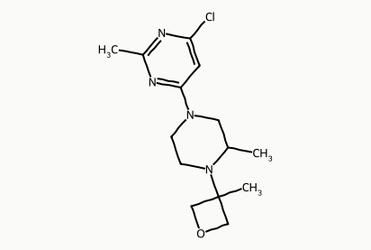 Cc1nc(Cl)cc(N2CCN(C3(C)COC3)C(C)C2)n1